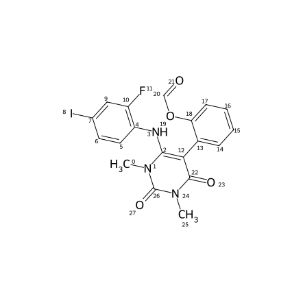 Cn1c(Nc2ccc(I)cc2F)c(-c2ccccc2OC=O)c(=O)n(C)c1=O